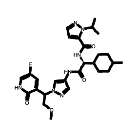 COCC(c1cc(F)c[nH]c1=O)n1cc(NC(=O)[C@@H](NC(=O)c2ccnn2C(C)C)C2CCC(C)CC2)cn1